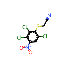 N#CCSc1c(Cl)cc([N+](=O)[O-])c(Cl)c1Cl